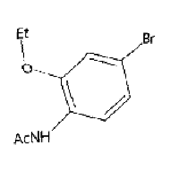 CCOc1cc(Br)ccc1NC(C)=O